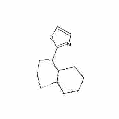 c1coc(C2CCCC3CCCCC32)n1